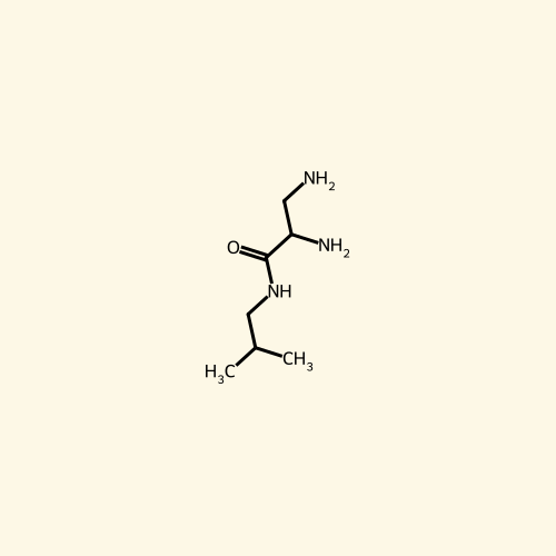 CC(C)CNC(=O)C(N)CN